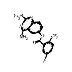 Nc1nc(N)c2cc(OC(=O)c3cc(F)ccc3C(F)(F)F)ccc2n1